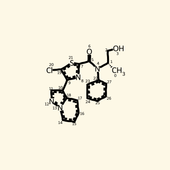 C[C@@H](CO)N(C(=O)c1nc(-c2cnn3ccccc23)c(Cl)s1)c1ccccc1